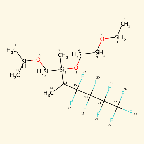 C[SiH2]O[SiH2][SiH2]O[Si](C)([SiH2]O[SiH](C)C)C(C)C(F)(F)C(F)(F)C(F)(F)C(F)(F)F